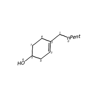 CCCCCCC1=CCC(O)CC1